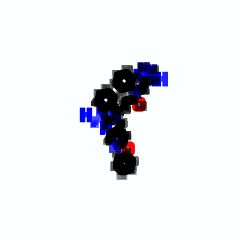 NC1=Nc2cnc(Oc3ccccc3)cc2CN1[C@@H](CCC(=O)N(Cc1nnn[nH]1)C1CCCCC1)C1CCCCC1